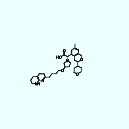 Cc1cc2c(c([C@@H](C(=O)O)N3CC[C@@H](OCCCCc4ccc5c(n4)NCCC5)C3)c1)CC(C1CCOCC1)OC2